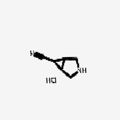 Cl.N#CC1C2CNCC12